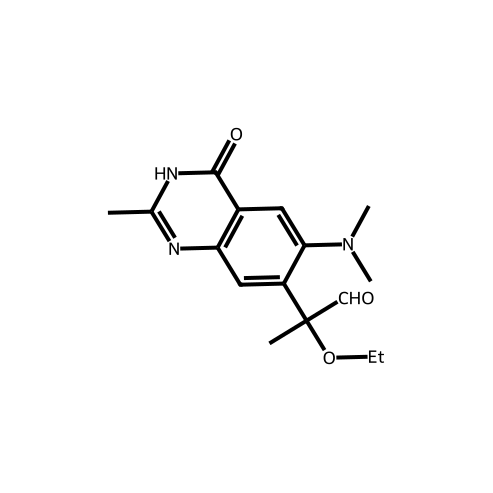 CCOC(C)(C=O)c1cc2nc(C)[nH]c(=O)c2cc1N(C)C